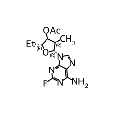 CC[C@H]1O[C@@H](n2cnc3c(N)nc(F)nc32)[C@H](C)C1OC(C)=O